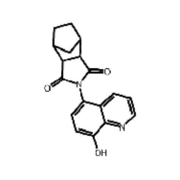 O=C1C2C3CCC(C3)C2C(=O)N1c1ccc(O)c2ncccc12